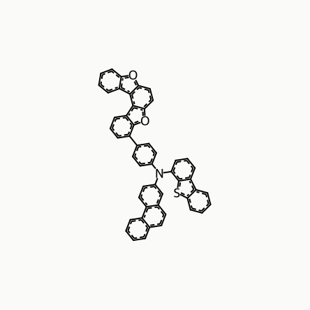 c1ccc2c(c1)ccc1cc(N(c3ccc(-c4cccc5c4oc4ccc6oc7ccccc7c6c45)cc3)c3cccc4c3sc3ccccc34)ccc12